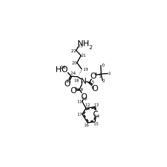 CC(C)(C)OC(=O)N(C(=O)OCc1ccccc1)[C@@H](CCCCN)C(=O)O